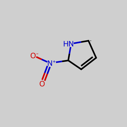 O=[N+]([O-])C1C=C[CH]N1